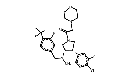 CN(Cc1ccc(C(F)(F)F)c(F)c1)[C@@H]1CN(C(=O)CN2CCOCC2)C[C@@H]1c1ccc(Cl)c(Cl)c1